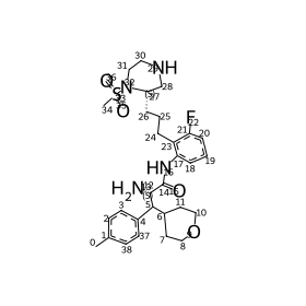 Cc1ccc(C(C2CCOCC2)[C@H](N)C(=O)Nc2cccc(F)c2CCC[C@H]2CNCCN2S(C)(=O)=O)cc1